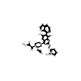 C=C(F)C(=O)N1CCN(c2nc(OC[C@@H]3CCCN3C)nc3c(F)c(-c4cccc5ccsc45)c(F)cc23)C[C@@H]1CC#N